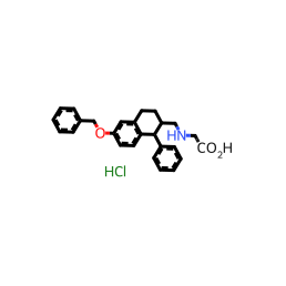 Cl.O=C(O)CNCC1CCc2cc(OCc3ccccc3)ccc2C1c1ccccc1